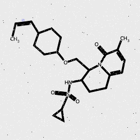 C/C=C\C1CCC(OCC2C(NS(=O)(=O)C3CC3)CCc3ccc(C)c(=O)n32)CC1